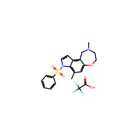 Cc1cc2c(c3ccn(S(=O)(=O)c4ccccc4)c13)CN(C)CCO2.O=C(O)C(F)(F)F